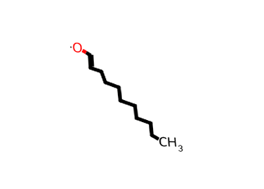 CCCCCCCCCC=C[O]